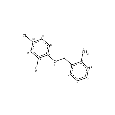 Cc1ncccc1COc1cnc(Cl)nc1Cl